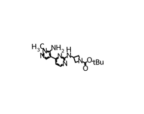 Cn1ncc(-c2ccnc(NC3CN(C(=O)OC(C)(C)C)C3)n2)c1N